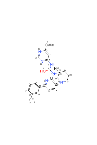 COc1cc(NC(O)N2c3nc(-c4cccc(C(F)(F)F)c4)ccc3N3CCC[C@H]2C3)ncn1